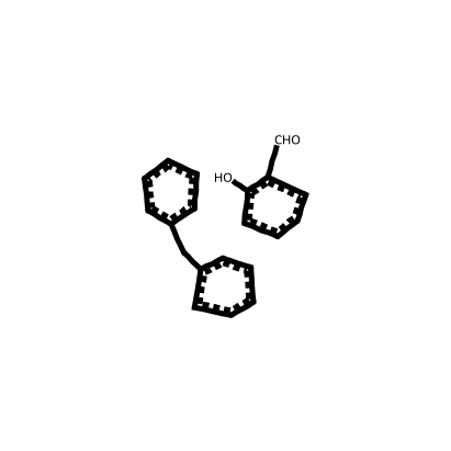 O=Cc1ccccc1O.c1ccc(Cc2ccccc2)cc1